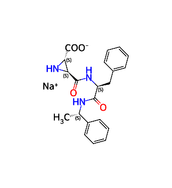 C[C@H](NC(=O)[C@H](Cc1ccccc1)NC(=O)[C@H]1N[C@@H]1C(=O)[O-])c1ccccc1.[Na+]